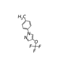 Cc1ccc(-n2cc(OC(F)(F)F)cn2)cc1